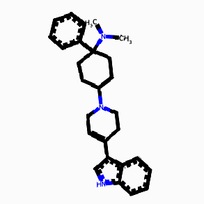 CN(C)C1(c2ccccc2)CCC(N2CC=C(c3c[nH]c4ccccc34)CC2)CC1